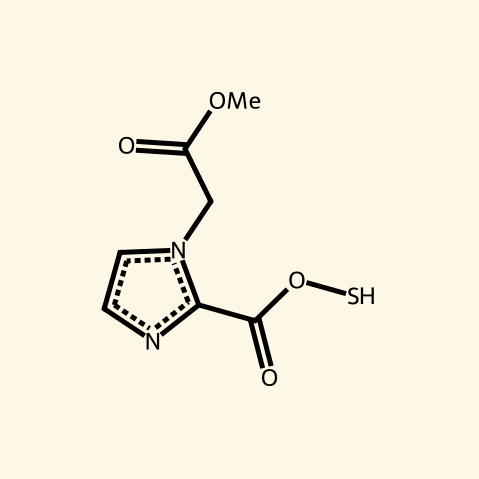 COC(=O)Cn1ccnc1C(=O)OS